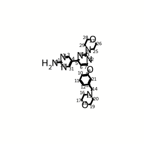 Nc1ncc(-c2cc(Oc3cccc(CN4CCOCC4)c3)nc(N3CCOCC3)n2)cn1